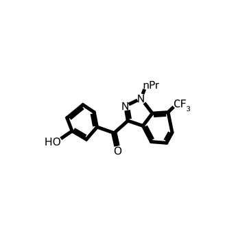 CCCn1nc(C(=O)c2cccc(O)c2)c2cccc(C(F)(F)F)c21